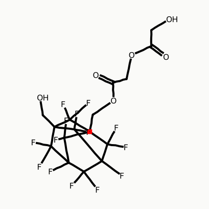 O=C(CO)OCC(=O)OCC12C(F)(F)C3(F)C(F)(F)C(F)(C(F)(F)C(CO)(C3(F)F)C1(F)F)C2(F)F